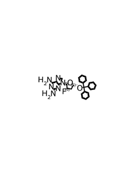 Nc1nc(N)c2ncn([C@@H]3O[C@H](COC(c4ccccc4)(c4ccccc4)c4ccccc4)C[C@@H]3F)c2n1